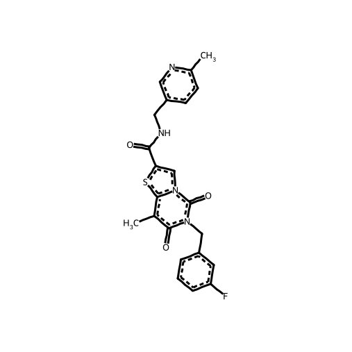 Cc1ccc(CNC(=O)c2cn3c(=O)n(Cc4cccc(F)c4)c(=O)c(C)c3s2)cn1